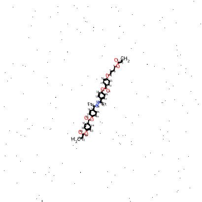 C=CC(=O)OCCCCOc1ccc(C(=O)Oc2ccc(/C(CC)=N/N=C(\CC)c3ccc(OC(=O)c4ccc(OC(=O)C=C)cc4)cc3)cc2)cc1